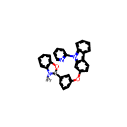 CC(C)N1B(c2cccc(Oc3ccc4c5ccccc5n(-c5ccccn5)c4c3)c2)Oc2ccccc21